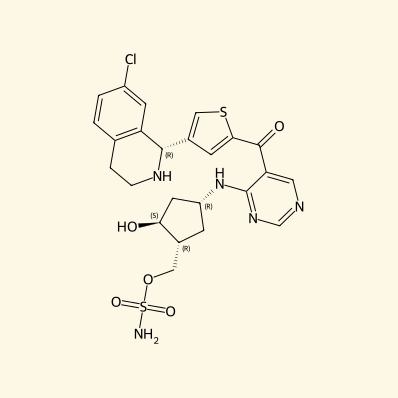 NS(=O)(=O)OC[C@H]1C[C@@H](Nc2ncncc2C(=O)c2cc([C@@H]3NCCc4ccc(Cl)cc43)cs2)C[C@@H]1O